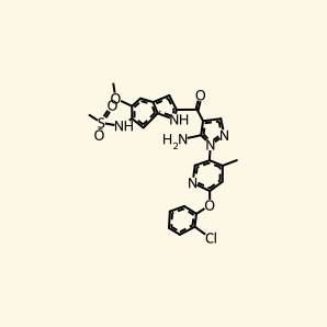 COc1cc2cc(C(=O)c3cnn(-c4cnc(Oc5ccccc5Cl)cc4C)c3N)[nH]c2cc1NS(C)(=O)=O